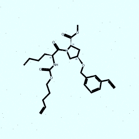 C=CCCCOC(=O)N[C@@H](CCCC)C(=O)N1C[C@H](OCc2cccc(C=C)c2)C[C@H]1C(=O)OC